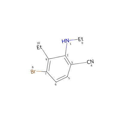 CCNc1c(C#N)ccc(Br)c1CC